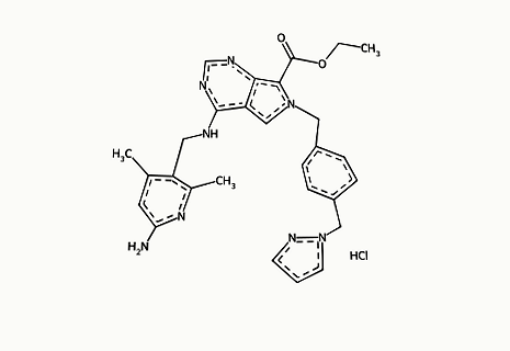 CCOC(=O)c1c2ncnc(NCc3c(C)cc(N)nc3C)c2cn1Cc1ccc(Cn2cccn2)cc1.Cl